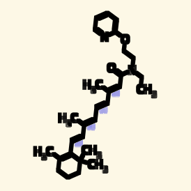 CCN(CCOc1ccccn1)C(=O)/C=C(C)/C=C/C=C(C)/C=C/C1=C(C)CCCC1(C)C